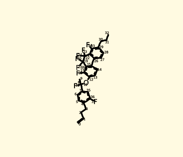 C=CCCc1ccc(C(C)(F)Oc2ccc3c(c2F)C(F)(F)C(F)(F)c2c-3ccc(CCC)c2F)cc1F